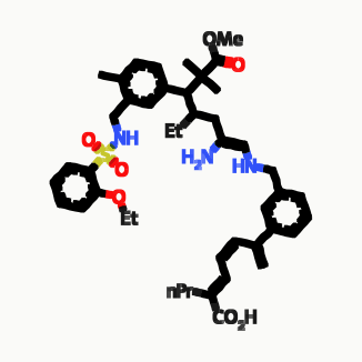 C=C(/C=C\C=C(/CCC)C(=O)O)c1cccc(CN/C=C(\N)CC(CC)C(c2ccc(C)c(CNS(=O)(=O)c3ccccc3OCC)c2)C(C)(C)C(=O)OC)c1